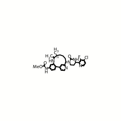 C=C1Nc2cc(NC(=O)OC)ccc2-c2ccnc(c2)[C@@H](N2CCC(c3nccc(Cl)c3F)NC2=O)CCC[C@@H]1C